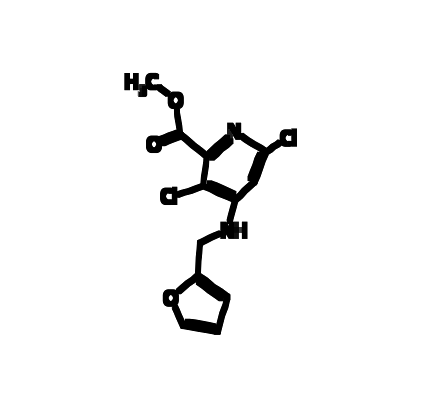 COC(=O)c1nc(Cl)cc(NCc2ccco2)c1Cl